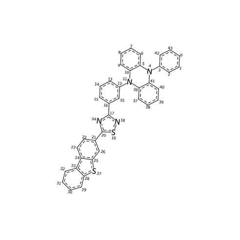 c1ccc(N2c3ccccc3N(c3cccc(-c4nsc(-c5ccc6c(c5)sc5ccccc56)n4)c3)c3ccccc32)cc1